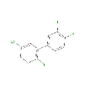 ClC1=CC(c2ccc(Cl)c(Cl)c2)=C(Cl)[CH]C1